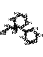 COCN(CC#N)COOCN(CC#N)COOCN(CC#N)COOCN(CC#N)COOCN(CC#N)COOCN(CC#N)COOCN(CC#N)COOCN(CC#N)COOCN(CC#N)COOCN(CC#N)COOCN(CC#N)COOCN(CC#N)COOCN(CC#N)COOCN(CC#N)COOCN(CC#N)COC